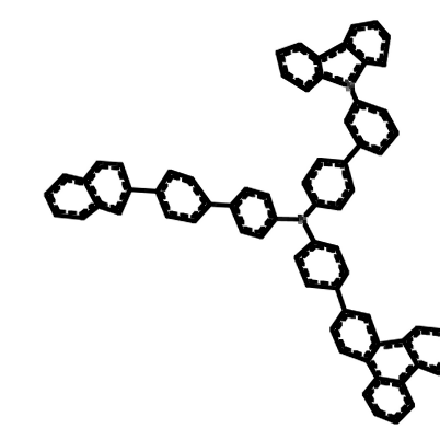 c1cc(-c2ccc(N(c3ccc(-c4ccc(-c5ccc6ccccc6c5)cc4)cc3)c3ccc(-c4ccc5c6ccccc6c6ccccc6c5c4)cc3)cc2)cc(-n2c3ccccc3c3ccccc32)c1